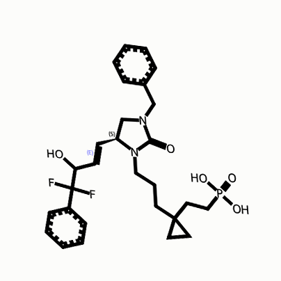 O=C1N(Cc2ccccc2)C[C@H](/C=C/C(O)C(F)(F)c2ccccc2)N1CCCC1(CCP(=O)(O)O)CC1